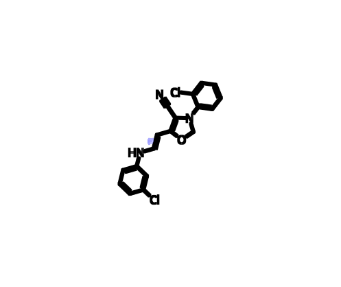 N#CC1=C(/C=C/Nc2cccc(Cl)c2)OCN1c1ccccc1Cl